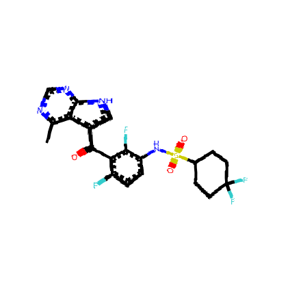 Cc1ncnc2[nH]cc(C(=O)c3c(F)ccc(NS(=O)(=O)C4CCC(F)(F)CC4)c3F)c12